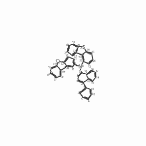 c1ccc(-c2ccc(N(c3ccc4oc5ccccc5c4c3)c3cccc4sc5ccccc5c34)c3ccccc23)cc1